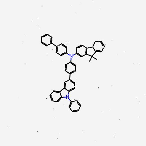 CC1(C)C2=CC=CCC2c2ccc(N(c3ccc(-c4ccccc4)cc3)c3ccc(-c4ccc5c(c4)c4ccccc4n5-c4ccccc4)cc3)cc21